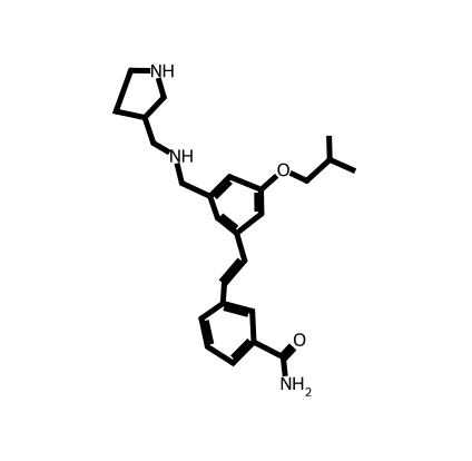 CC(C)COc1cc(/C=C/c2cccc(C(N)=O)c2)cc(CNCC2CCNC2)c1